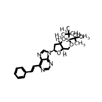 CC(C)(C)[Si]1(C(C)(C)C)OC[C@H]2O[C@@H](n3cnc4c(C=Cc5ccccc5)ncnc43)C[C@@H]2O1